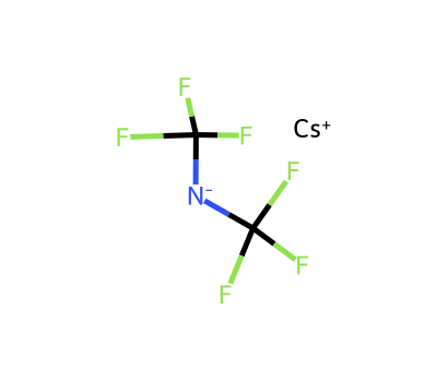 FC(F)(F)[N-]C(F)(F)F.[Cs+]